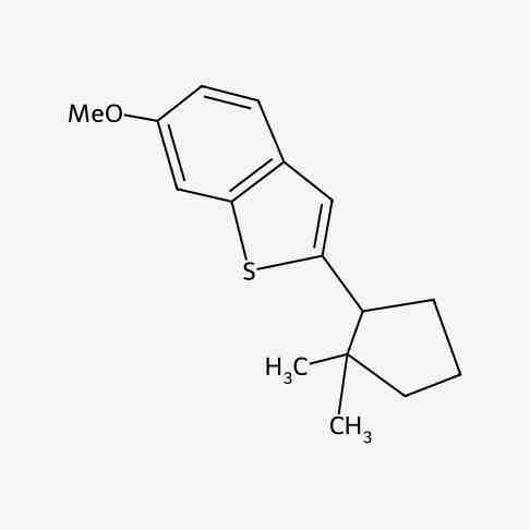 COc1ccc2cc(C3CCCC3(C)C)sc2c1